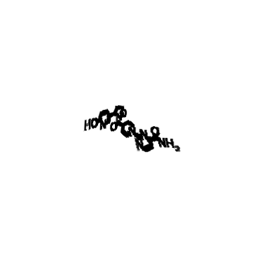 NC(=O)c1ccnc(N2CCC(C(=O)N3OCCC3c3ccc(O)nc3)CC2)n1